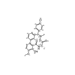 COc1ccnc(C(=O)N[C@@H](C)C(=O)ON(C)C(c2ccccc2)c2ccc(Cl)cc2)c1O